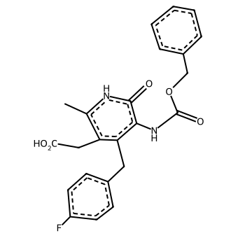 Cc1[nH]c(=O)c(NC(=O)OCc2ccccc2)c(Cc2ccc(F)cc2)c1CC(=O)O